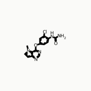 Cn1ccc2ncnc(Oc3ccc(NC(N)=O)c(Cl)c3)c21